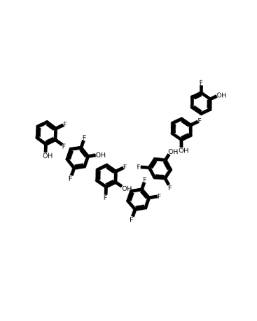 Fc1ccc(F)c(F)c1.Oc1c(F)cccc1F.Oc1cc(F)cc(F)c1.Oc1cc(F)ccc1F.Oc1cccc(F)c1.Oc1cccc(F)c1F.Oc1ccccc1F